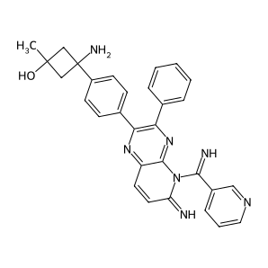 CC1(O)CC(N)(c2ccc(-c3nc4ccc(=N)n(C(=N)c5cccnc5)c4nc3-c3ccccc3)cc2)C1